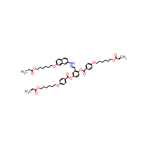 C=CC(=O)OCCCCCCOc1ccc(C(=O)Oc2ccc(OC(=O)c3ccc(OCCCCCCOC(=O)C=C)cc3)c(/C=N/Nc3ccc4ccc(OCCCCCCOC(=O)CC)cc4c3)c2)cc1